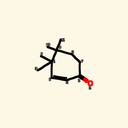 CC1(C)C=CC(=O)CCC1(C)C